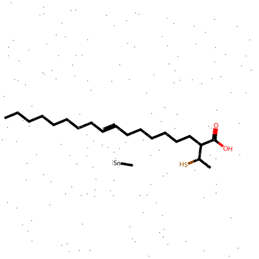 CCCCCCCCC=CCCCCCCC(C(=O)O)C(C)S.[CH3][Sn]